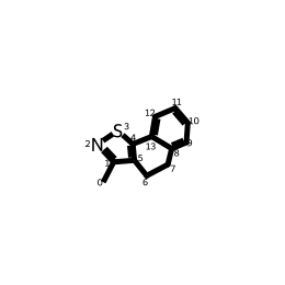 Cc1nsc2c1CCc1ccccc1-2